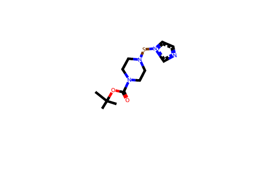 CC(C)(C)OC(=O)N1CCN(Sn2ccnc2)CC1